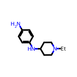 CCN1CCC(Nc2ccc(N)cc2)CC1